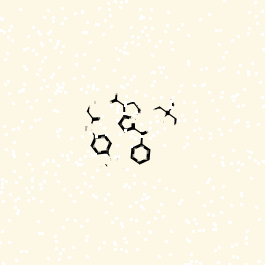 NC(CO)(CO)CO.O=C(CO)Nc1ccc([As](=O)(O)O)cc1.O=C(c1ccccc1)c1ccc2n1CCC2C(=O)O